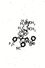 Cc1c(-c2ccnn2-c2ccc(C#N)cc2)n(C(=O)N[C@@H](C)C(=O)N(C)CC[N+](C)(C)C)c(=O)n1-c1cccc(C(F)(F)F)c1.O=S(=O)([O-])c1ccccc1